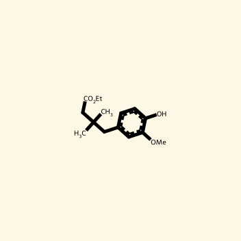 CCOC(=O)CC(C)(C)Cc1ccc(O)c(OC)c1